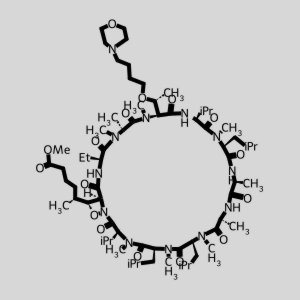 CC[C@@H]1NC(=O)[C@@H]2[C@@H]([C@H](C)CCCC(=O)OC)ON2C(=O)[C@H](C(C)C)N(C)C(=O)[C@H](CC(C)C)N(C)C(=O)[C@H](CC(C)C)N(C)C(=O)[C@@H](C)NC(=O)[C@H](C)NC(=O)[C@H](CC(C)C)N(C)C(=O)[C@H](C(C)C)NC(=O)[C@H]([C@@H](C)OCCCCN2CCOCC2)N(C)C(=O)[C@@H](C)N(C)C1=O